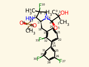 CC(C)(O)C(=O)N1CC(C)(F)[C@H](NS(C)(=O)=O)[C@@H]1Cc1cccc(-c2cc(F)cc(F)c2)c1F